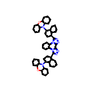 c1ccc2c(c1)Oc1ccccc1N2c1ccc(-c2nnc3c4nnc(-c5ccc(N6c7ccccc7Oc7ccccc76)c6ccccc56)n4c4ccccc4n23)c2ccccc12